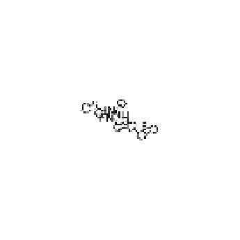 c1ccc(C2NC(c3ccc4c(c3)sc3ccccc34)NC(c3cccc4c3oc3ccc(-c5cccc6c5sc5ccccc56)cc34)N2)cc1